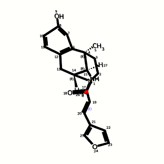 CN1CC[C@]2(C)c3cc(O)ccc3C[C@@H]1[C@@H]2NC(=O)/C=C/c1ccoc1